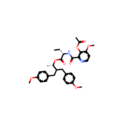 CC[C@H](NC(=O)c1nccc(OC)c1OC(C)=O)C(=O)O[C@@H](C)C(Cc1ccc(OC)cc1)Cc1ccc(OC)cc1